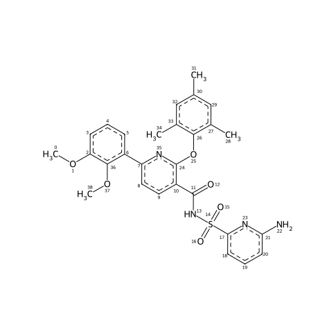 COc1cccc(-c2ccc(C(=O)NS(=O)(=O)c3cccc(N)n3)c(Oc3c(C)cc(C)cc3C)n2)c1OC